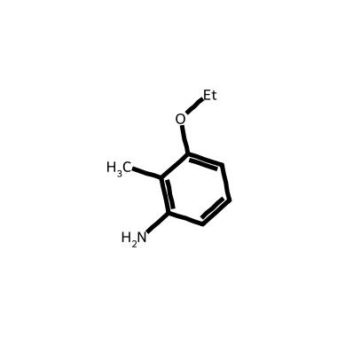 CCOc1cccc(N)c1C